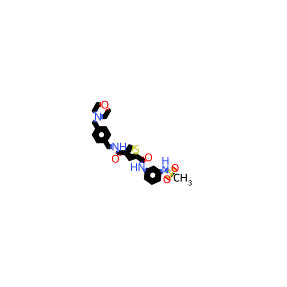 CS(=O)(=O)Nc1cccc(NC(=O)c2cc(C(=O)NCc3ccc(CN4CCOCC4)cc3)cs2)c1